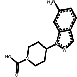 Nc1ccc2cnn(C3CCN(C(=O)O)CC3)c2c1